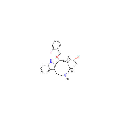 C[C@@H]1[C@H]2C[C@@H](OCc3ccccc3I)c3[nH]c4ccccc4c3CCN(C#N)C[C@@H]2CC[C@@H]1O